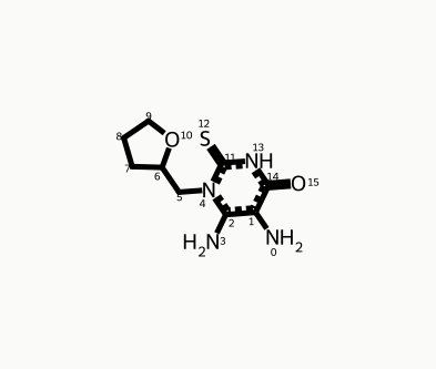 Nc1c(N)n(CC2CCCO2)c(=S)[nH]c1=O